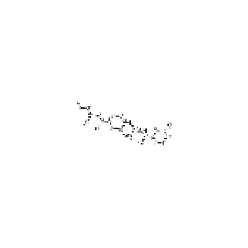 CCOC(=O)CC(=O)N1CCc2nc(NC(=O)c3cccc(Cl)c3)ncc2C1